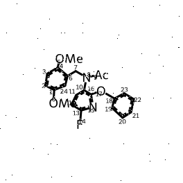 COc1ccc(OC)c(CN(C(C)=O)c2ccc(F)nc2Oc2ccccc2)c1